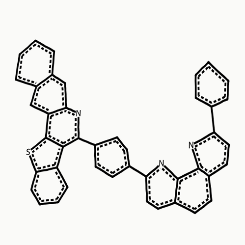 c1ccc(-c2ccc3ccc4ccc(-c5ccc(-c6nc7cc8ccccc8cc7c7sc8ccccc8c67)cc5)nc4c3n2)cc1